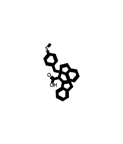 CSc1ccc(CC2(C(C(=O)O)C3=CCc4ccccc43)C=Cc3ccccc32)cc1